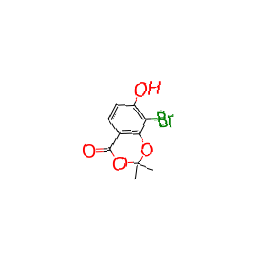 CC1(C)OC(=O)c2ccc(O)c(Br)c2O1